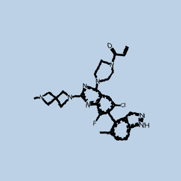 C=CC(=O)N1CCN(c2nc(N3CC4(CN(C)C4)C3)nc3c(F)c(-c4c(C)ccc5[nH]ncc45)c(Cl)cc23)CC1